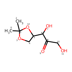 CC1(C)OCC(C(O)C(=O)CO)O1